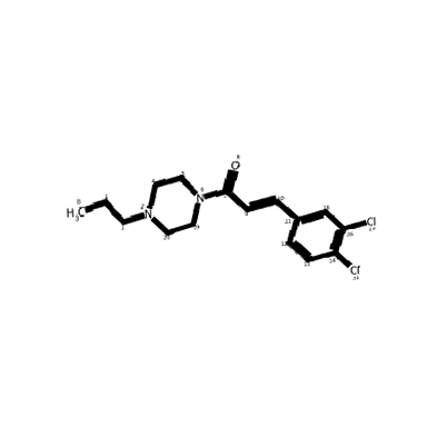 CCCN1CCN(C(=O)/C=C/c2ccc(Cl)c(Cl)c2)CC1